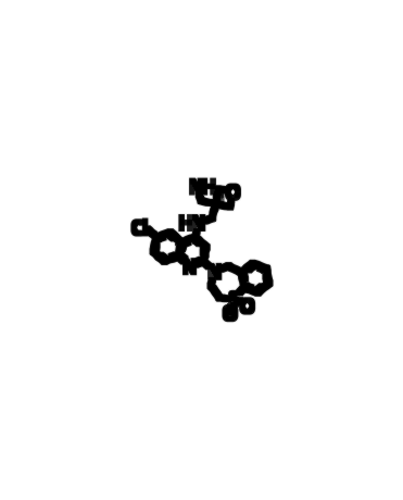 NCC1(CNc2cc(N3CCS(=O)(=O)c4ccccc4C3)nc3ccc(Cl)cc23)COC1